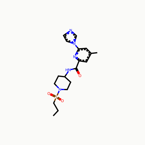 CCCS(=O)(=O)N1CCC(NC(=O)c2cc(C)cc(-n3ccnc3)n2)CC1